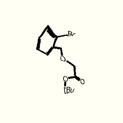 CC(C)(C)OC(=O)COCc1ccccc1Br